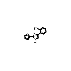 Clc1ccccc1-c1c[nH]c(-c2cccs2)n1